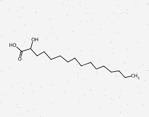 CCCCCCCCCCCCCCC(O)C(=O)O